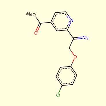 COC(=O)c1ccnc(C(=N)COc2ccc(Cl)cc2)c1